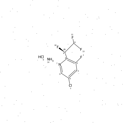 Cl.Fc1cc(Cl)cnc1[C@@H](F)C(F)F.N